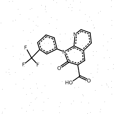 O=C(O)c1cc2cccnc2n(-c2cccc(C(F)(F)F)c2)c1=O